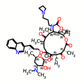 CC[C@H]1OC(=O)[C@H](C)C(=O)[C@H](C)[C@@H](O[C@@H]2O[C@H](C)C[C@H](N(C)C)[C@H]2O)[C@](C)(OC/C=C/c2cnc3ccccc3c2)C[C@@H](C)C(=O)[C@H](C)[C@H]2N(CCCN3CCC3)C(=O)O[C@]12C